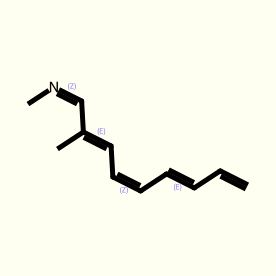 C=C/C=C/C=C\C=C(C)\C=N/C